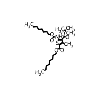 CCCCCCCCOC(=O)Nc1sc(C(=O)OCCCCCCCC)c(C)c1C(=O)OC(C)(C)C